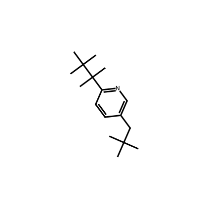 CC(C)(C)Cc1ccc(C(C)(C)C(C)(C)C)nc1